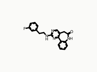 O=C1Cc2cnc(NCCc3cccc(F)c3)nc2-c2ccccc2N1